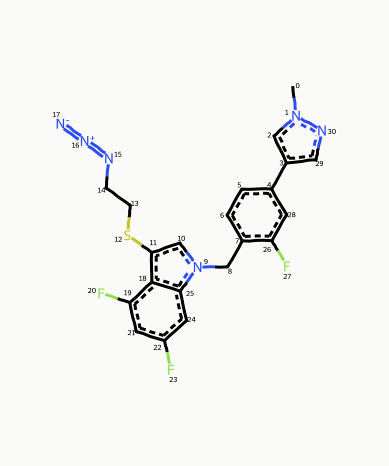 Cn1cc(-c2ccc(Cn3cc(SCCN=[N+]=[N-])c4c(F)cc(F)cc43)c(F)c2)cn1